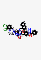 N#CCN(C(=O)NCc1ccc(Cl)c(Cl)c1)N1CC(=O)N2[C@@H](Cc3ccc(NC(=O)c4ccccc4)cc3)C(=O)N(Cc3cccc4ccccc34)C[C@@H]21